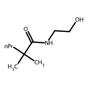 CCCC(C)(C)C(=O)NCCO